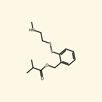 CNCCSSc1ccccc1COC(=O)C(C)C